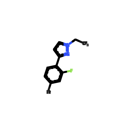 CCc1ccc(-c2ccn(CC(F)(F)F)n2)c(F)c1